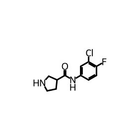 O=C(Nc1ccc(F)c(Cl)c1)C1CCNC1